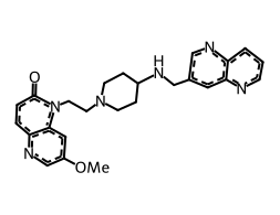 COc1cnc2ccc(=O)n(CCN3CCC(NCc4cnc5cccnc5c4)CC3)c2c1